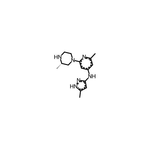 Cc1cc(Nc2cc(C)[nH]n2)cc(N2CCN[C@@H](C)C2)n1